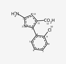 Nc1nc(-c2ccccc2Cl)c(C(=O)O)s1